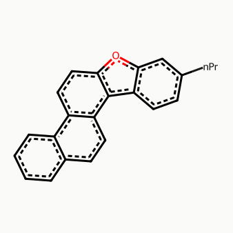 CCCc1ccc2c(c1)oc1ccc3c4ccccc4ccc3c12